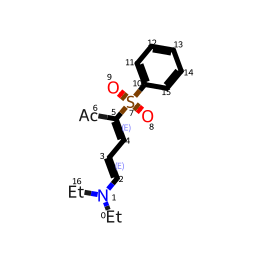 CCN(/C=C/C=C(\C(C)=O)S(=O)(=O)c1ccccc1)CC